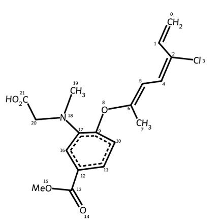 C=C/C(Cl)=C\C=C(/C)Oc1ccc(C(=O)OC)cc1N(C)CC(=O)O